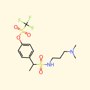 CC(c1ccc(OS(=O)(=O)C(F)(F)F)cc1)S(=O)(=O)NCCCN(C)C